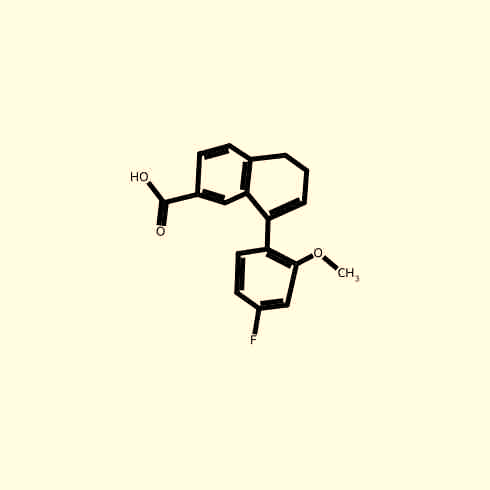 COc1cc(F)ccc1C1=CCCc2ccc(C(=O)O)cc21